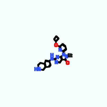 CCn1c(=O)c2cnc(Nc3ccc4c(c3)CCNC4)nc2n1-c1cccc(OC2CCC2)n1